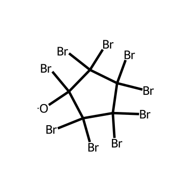 [O]C1(Br)C(Br)(Br)C(Br)(Br)C(Br)(Br)C1(Br)Br